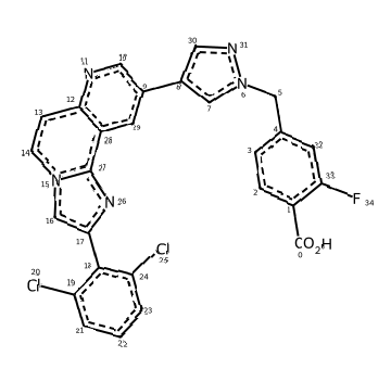 O=C(O)c1ccc(Cn2cc(-c3cnc4ccn5cc(-c6c(Cl)cccc6Cl)nc5c4c3)cn2)cc1F